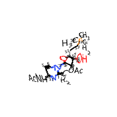 C=C1N=C(NC(C)=O)C=CN1C1O[C@H](CCP(=C)(C)C)[C@@H](O)[C@H]1OC(C)=O